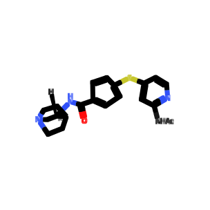 CC(=O)Nc1cc(Sc2ccc(C(=O)N[C@H]3CN4CCC3CC4)cc2)ccn1